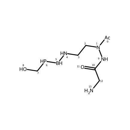 CC(=O)N(CCNBPCO)NC(=O)CN